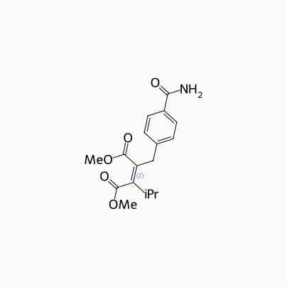 COC(=O)/C(Cc1ccc(C(N)=O)cc1)=C(\C(=O)OC)C(C)C